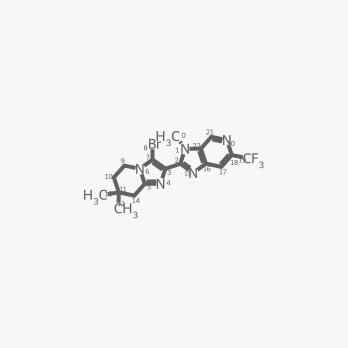 Cn1c(-c2nc3n(c2Br)CCC(C)(C)C3)nc2cc(C(F)(F)F)ncc21